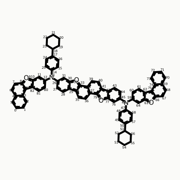 c1ccc2c(c1)ccc1oc3cc(N(c4ccc(C5CCCCC5)cc4)c4ccc5c(c4)oc4c5ccc5c4ccc4c6ccc(N(c7ccc(C8CCCCC8)cc7)c7ccc8c(c7)oc7ccc9ccccc9c78)cc6oc45)ccc3c12